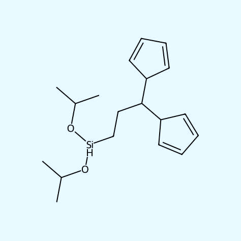 CC(C)O[SiH](CCC(C1C=CC=C1)C1C=CC=C1)OC(C)C